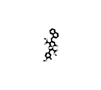 COC(=O)c1c(Cc2cccc3ccccc23)cc(=O)n2c(C(=O)OC)c(-c3ccc(OC)c(C)c3)sc12